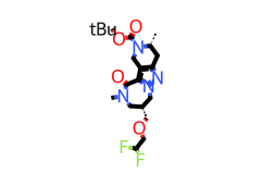 C[C@@H]1Cc2nn3c(c2CN1C(=O)OC(C)(C)C)C(=O)N(C)C[C@@H](COCC(F)F)C3